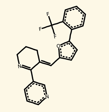 FC(F)(F)c1ccccc1-c1ccc(C=C2CCCN=C2c2cccnc2)o1